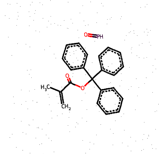 C=C(C)C(=O)OC(c1ccccc1)(c1ccccc1)c1ccccc1.O=P